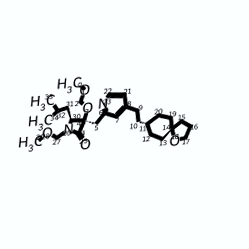 COCO[C@@]1(Cc2cc(CC[C@H]3CC[C@]4(CCCO4)CC3)ccn2)C(=O)N(COC)[C@H]1CC(C)C